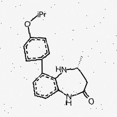 CC(C)Oc1ccc(-c2cccc3c2N[C@H](C)CC(=O)N3)cc1